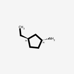 CC[C@@H]1CC[C@@H](N)C1